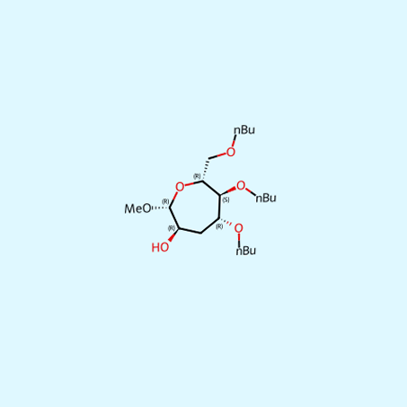 CCCCOC[C@H]1O[C@@H](OC)[C@H](O)C[C@@H](OCCCC)[C@@H]1OCCCC